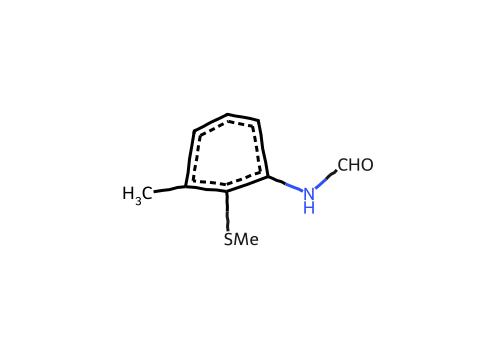 CSc1c(C)cccc1NC=O